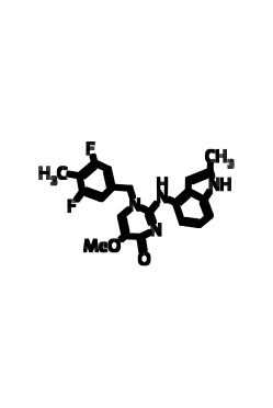 COc1cn(Cc2cc(F)c(C)c(F)c2)c(Nc2cccc3[nH]c(C)cc23)nc1=O